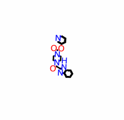 O=C(Oc1cccnc1)N1CCN(C(=O)c2nc3ccccc3[nH]2)CC1